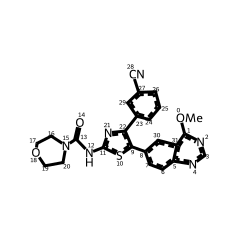 COc1ncnc2ccc(-c3sc(NC(=O)N4CCOCC4)nc3-c3cccc(C#N)c3)cc12